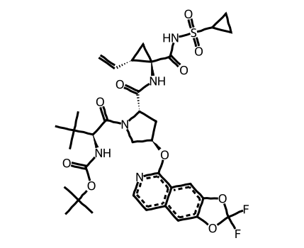 C=C[C@@H]1C[C@]1(NC(=O)[C@@H]1C[C@@H](Oc2nccc3cc4c(cc23)OC(F)(F)O4)CN1C(=O)[C@@H](NC(=O)OC(C)(C)C)C(C)(C)C)C(=O)NS(=O)(=O)C1CC1